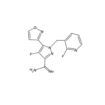 N=C(N)c1nn(Cc2cccnc2F)c(-c2ccon2)c1F